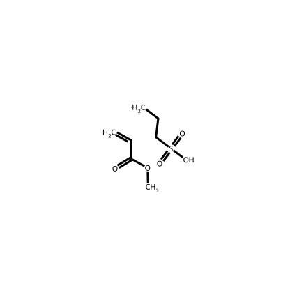 C=CC(=O)OC.[CH2]CCS(=O)(=O)O